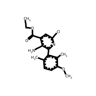 CCOC(=O)c1cc(Cl)nc(-c2c(C)ccc(OC)c2C)c1N